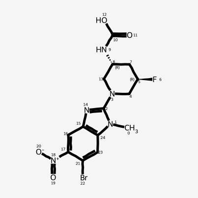 Cn1c(N2C[C@H](F)C[C@@H](NC(=O)O)C2)nc2cc([N+](=O)[O-])c(Br)cc21